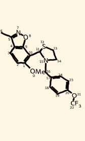 COc1ccc2c(C)noc2c1C1SCCN1Cc1ccc(OC(F)(F)F)cc1